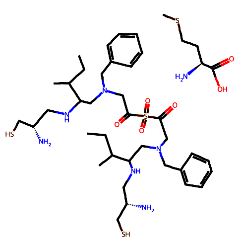 CCC(C)C(CN(CC(=O)S(=O)(=O)C(=O)CN(Cc1ccccc1)CC(NC[C@H](N)CS)C(C)CC)Cc1ccccc1)NC[C@H](N)CS.CSCC[C@H](N)C(=O)O